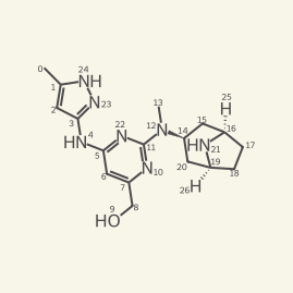 Cc1cc(Nc2cc(CO)nc(N(C)[C@H]3C[C@H]4CC[C@@H](C3)N4)n2)n[nH]1